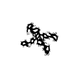 Cc1ccccc1-c1ccc2c3c4c5ccc(-c6ccccc6C)cc5n5c6cc(-c7ccccc7C)ccc6c(c6c7ccc(-c8ccccc8C)cc7n(c2c1)c36)c45